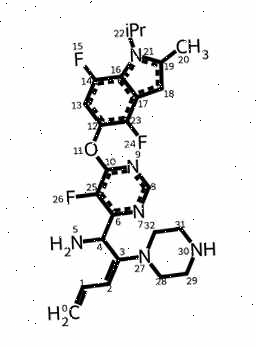 C=C/C=C(\C(N)c1ncnc(Oc2cc(F)c3c(cc(C)n3C(C)C)c2F)c1F)N1CCNCC1